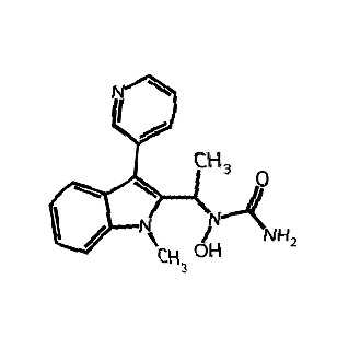 CC(c1c(-c2cccnc2)c2ccccc2n1C)N(O)C(N)=O